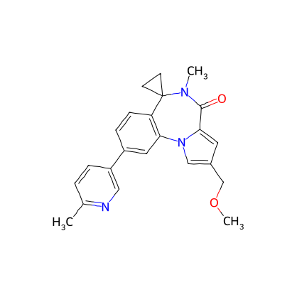 COCc1cc2n(c1)-c1cc(-c3ccc(C)nc3)ccc1C1(CC1)N(C)C2=O